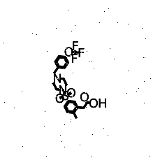 Cc1ccc(S(=O)(=O)N2CCN(Cc3ccc(OC(F)(F)F)cc3)CC2)cc1CC(=O)O